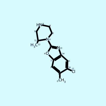 Cc1cc2oc(N3CCNCC3C)nc2cc1Cl